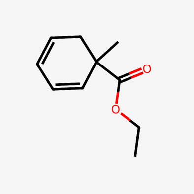 CCOC(=O)C1(C)C=CC=CC1